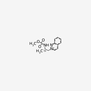 COS(=O)(=O)N[C@@H](C)C[n+]1ccc2ccccc2n1